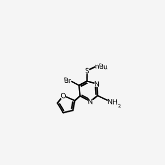 CCCCSc1nc(N)nc(-c2ccco2)c1Br